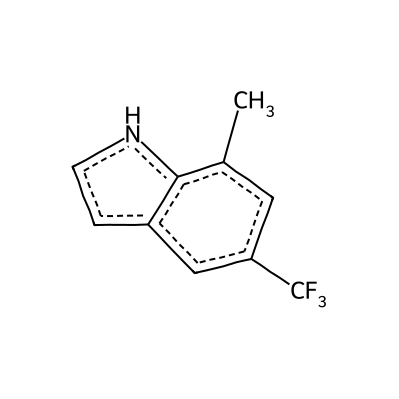 Cc1cc(C(F)(F)F)cc2cc[nH]c12